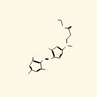 CCN(CCC(=O)OCC(C)=O)c1ccc(N=Nc2c(C#N)cc([N+](=O)[O-])cc2[N+](=O)[O-])c(NC(C)=O)c1